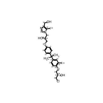 CC(C)(c1ccc(OC[C@@H](O)Cn2nnc(CO)c2I)cc1)c1ccc(OC[C@H](O)CCl)c(I)c1